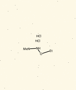 CCONNC.Cl.Cl